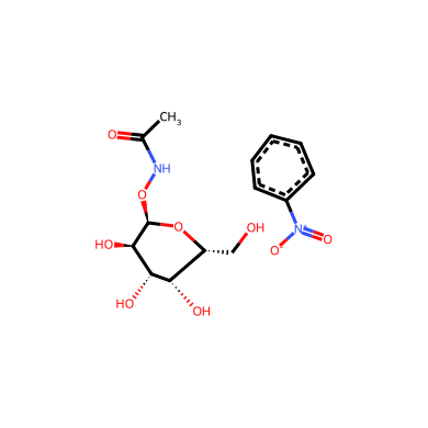 CC(=O)NO[C@H]1O[C@H](CO)[C@H](O)[C@H](O)[C@H]1O.O=[N+]([O-])c1ccccc1